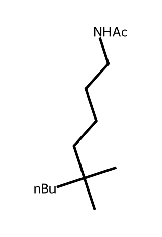 CCCCC(C)(C)CCCCNC(C)=O